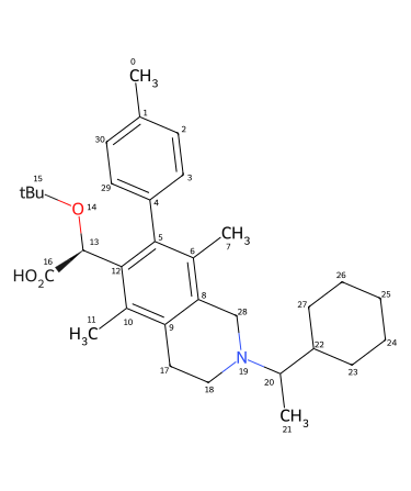 Cc1ccc(-c2c(C)c3c(c(C)c2[C@H](OC(C)(C)C)C(=O)O)CCN(C(C)C2CCCCC2)C3)cc1